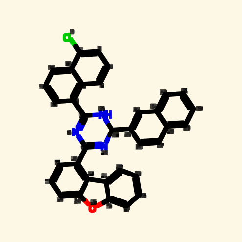 Clc1cccc2c(C3=NC(c4cccc5oc6ccccc6c45)=NC(c4ccc5ccccc5c4)N3)cccc12